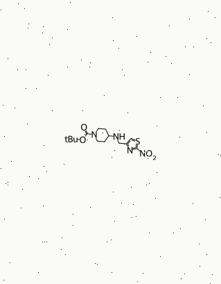 CC(C)(C)OC(=O)N1CCC(NCc2csc([N+](=O)[O-])n2)CC1